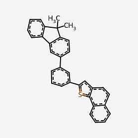 CC1(C)c2ccccc2-c2cc(-c3cccc(-c4cc5ccc6ccccc6c5s4)c3)ccc21